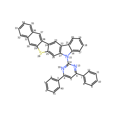 c1ccc(-c2cc(-c3ccccc3)nc(-n3c4ccccc4c4cc5c(cc43)sc3cc4ccccc4cc35)n2)cc1